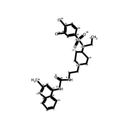 CCN(C1CCN(CCNC(=O)Nc2cc(C)nc3ccccc23)CC1)S(=O)(=O)c1ccc(Cl)c(Cl)c1